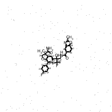 Cc1nc2cc(C(=O)NCC(O)(c3cc4c(c(-c5ccc(F)cc5)n3)OC[C@]4(C)C(N)=O)C(F)(F)F)ccc2o1